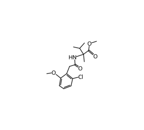 COC(=O)C(C)(NC(=O)Cc1c(Cl)cccc1OC)C(C)C